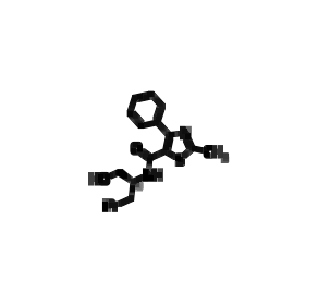 Cc1nc(-c2ccccc2)c(C(=O)N[C@H](CO)CC(C)C)s1